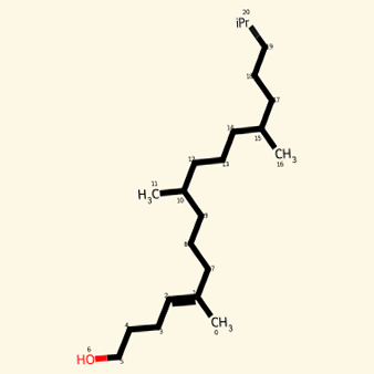 CC(=CCCCO)CCCC(C)CCCC(C)CCCC(C)C